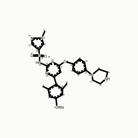 COc1cc(C)c(-c2cc(Oc3ccc(N4CCNCC4)cc3)nc(NS(=O)(=O)c3cnn(C)c3)n2)c(C)c1